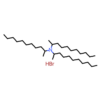 Br.CCCCCCCCCC(C)N(C(C)CCCCCCCCC)C(C)CCCCCCCCC